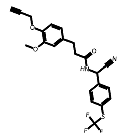 C#CCOc1ccc(CCC(=O)NC(C#N)c2ccc(SC(F)(F)F)cc2)cc1OC